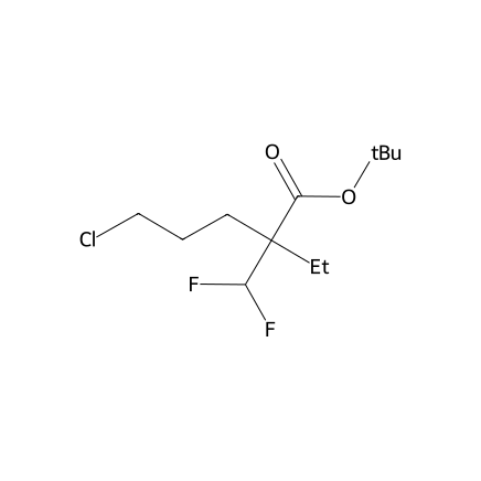 CCC(CCCCl)(C(=O)OC(C)(C)C)C(F)F